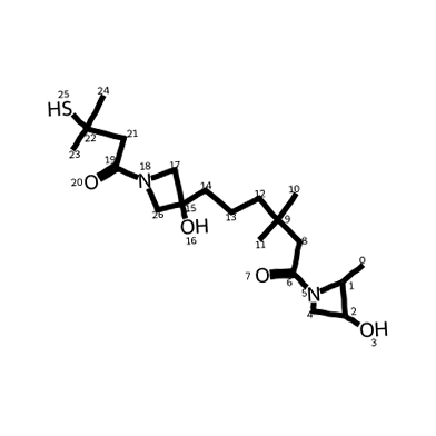 CC1C(O)CN1C(=O)CC(C)(C)CCCC1(O)CN(C(=O)CC(C)(C)S)C1